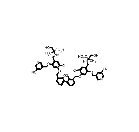 CC(CO)(NCc1cc(Cl)c(OCc2cccc(-c3cccc(COc4cc(OCc5cncc(C#N)c5)c(CN[C@@](C)(CO)C(=O)O)cc4Cl)c3Cl)c2Cl)cc1OCc1cncc(C#N)c1)C(=O)O